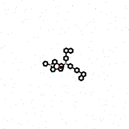 c1ccc(-c2cccc3c2c2c(-c4cccc(N(c5ccc(-c6ccc(-c7cccc8ccccc78)cc6)cc5)c5ccc(-c6cccc7ccccc67)cc5)c4)cccc2n3-c2ccccc2)cc1